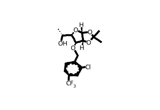 C[C@@H](O)[C@H]1O[C@@H]2OC(C)(C)O[C@@H]2[C@H]1OCc1ccc(C(F)(F)F)cc1Cl